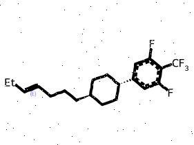 CC/C=C/CCC[C@H]1CC[C@H](c2cc(F)c(C(F)(F)F)c(F)c2)CC1